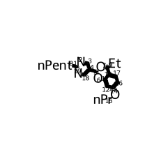 CCCCCc1ncc(C(=O)OC(CC)c2ccc(OCCC)cc2)cn1